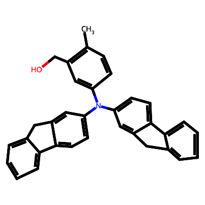 Cc1ccc(N(c2ccc3c(c2)Cc2ccccc2-3)c2ccc3c(c2)Cc2ccccc2-3)cc1CO